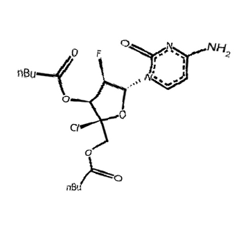 CCCCC(=O)OC[C@@]1(Cl)O[C@@H](n2ccc(N)nc2=O)[C@H](F)[C@@H]1OC(=O)CCCC